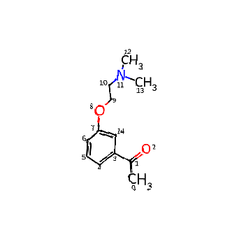 CC(=O)c1cccc(OCCN(C)C)c1